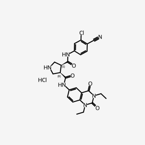 CCn1c(=O)c2cc(NC(=O)[C@H]3CNC[C@H]3C(=O)Nc3ccc(C#N)c(Cl)c3)ccc2n(CC)c1=O.Cl